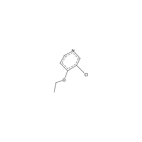 CCOc1c[c]ncc1Cl